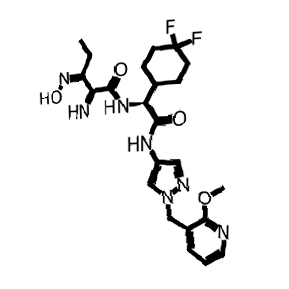 CC/C(=N/O)C(=N)C(=O)N[C@H](C(=O)Nc1cnn(Cc2cccnc2OC)c1)C1CCC(F)(F)CC1